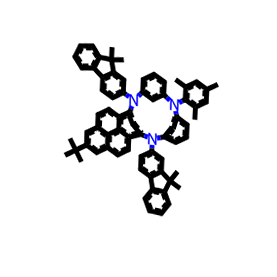 Cc1cc(C)c(N2c3cccc(c3)N(c3ccc4c(c3)C(C)(C)c3ccccc3-4)c3cc(c4ccc5cc(C(C)(C)C)cc6ccc3c4c65)N(c3ccc4c(c3)C(C)(C)c3ccccc3-4)c3cccc2c3)c(C)c1